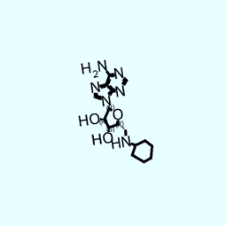 Nc1ncnc2c1ncn2[C@@H]1O[C@H](CNC2CCCCC2)[C@@H](O)[C@H]1O